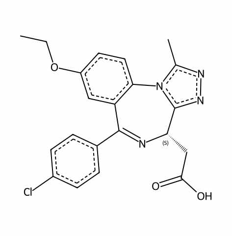 CCOc1ccc2c(c1)C(c1ccc(Cl)cc1)=N[C@@H](CC(=O)O)c1nnc(C)n1-2